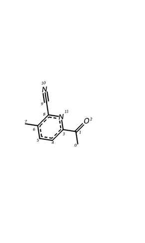 CC(=O)c1ccc(C)c(C#N)n1